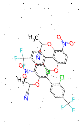 CC(C#N)Oc1c([N+](=O)[O-])ccc(Oc2ccc([N+](=O)[O-])c(OC(C)C#N)c2-c2ccc(C(F)(F)F)cc2Cl)c1-c1ccc(C(F)(F)F)cc1Cl